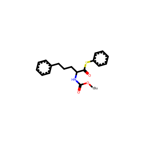 CC(C)(C)OC(=O)NC(CCCc1ccccc1)C(=O)Sc1ccccc1